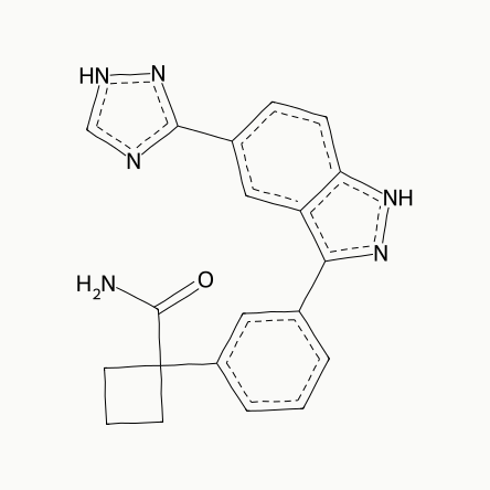 NC(=O)C1(c2cccc(-c3n[nH]c4ccc(-c5nc[nH]n5)cc34)c2)CCC1